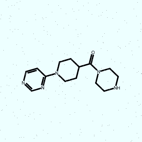 O=C(C1CCN(c2ccncn2)CC1)N1CCNCC1